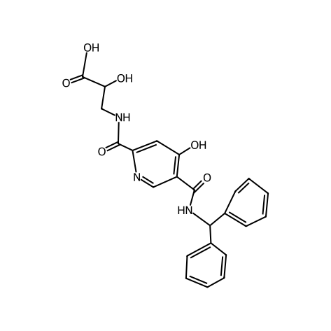 O=C(NCC(O)C(=O)O)c1cc(O)c(C(=O)NC(c2ccccc2)c2ccccc2)cn1